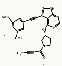 CC#CC(=O)N1CC[C@H](Nc2ncnc3[nH]nc(C#Cc4cc(OC)cc(OC)c4)c23)C1